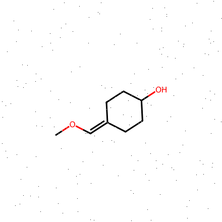 COC=C1CCC(O)CC1